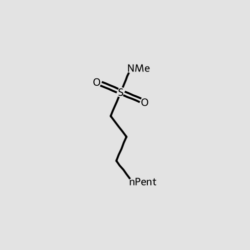 [C]NS(=O)(=O)CCCCCCCC